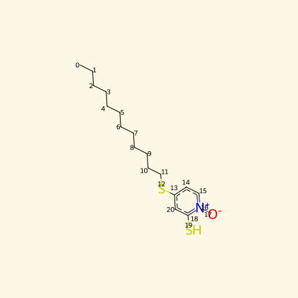 CCCCCCCCCCCCSc1cc[n+]([O-])c(S)c1